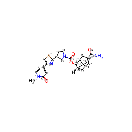 Cn1ccc(-c2csc(C3CCN(C(=O)OC4C5CC6C[C@H]4C[C@@](C(N)=O)(C6)C5)C3)n2)cc1=O